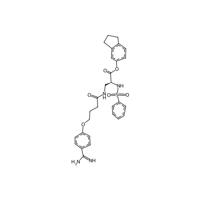 N=C(N)c1ccc(OCCCC(=O)NC[C@H](NS(=O)(=O)c2ccccc2)C(=O)Oc2ccc3c(c2)CCC3)cc1